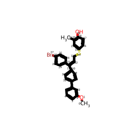 COc1cccc(-c2ccc(C(=CCSc3ccc(O)c(C)c3)c3ccc(Br)cc3)cc2)c1